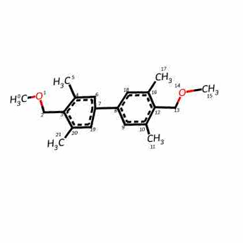 COCc1c(C)cc(-c2cc(C)c(COC)c(C)c2)cc1C